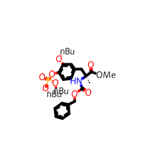 CCCCOc1cc(C[C@](C)(NC(=O)OCc2ccccc2)C(=O)OC)ccc1OP(=O)(OCCCC)OCCCC